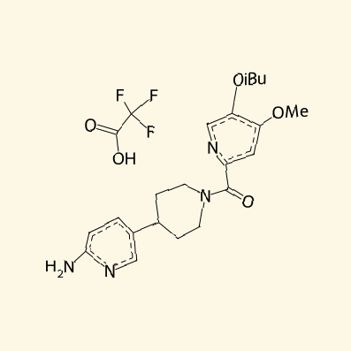 COc1cc(C(=O)N2CCC(c3ccc(N)nc3)CC2)ncc1OCC(C)C.O=C(O)C(F)(F)F